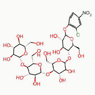 O=[N+]([O-])c1ccc(OC2O[C@@H](CO)[C@H](O[C@@H]3O[C@@H](CO)[C@H](O[C@H]4O[C@@H](CO)[C@H](O[C@H]5O[C@@H](CO)[C@H](O)[C@@H](O)[C@@H]5O)[C@@H](O)[C@@H]4O)[C@@H](O)[C@@H]3O)[C@@H](O)[C@@H]2O)c(Cl)c1